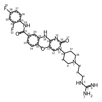 N=C(N)NCCCN1CCC(n2cc3c(nc2=O)Nc2cc(C(=O)Nc4ccc(F)cc4F)ccc2O3)CC1